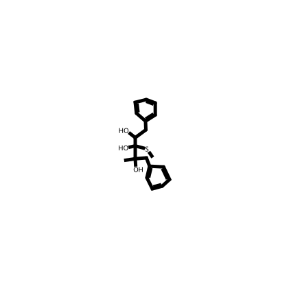 CSC(O)(C(O)Cc1ccccc1)C(C)(O)Cc1ccccc1